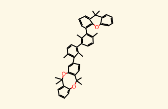 Cc1ccc(-c2ccc(C)c(-c3cccc4c3Oc3ccccc3C4(C)C)c2C)c(C)c1-c1ccc2c(c1)OC(C)(C)c1ccccc1OC2(C)C